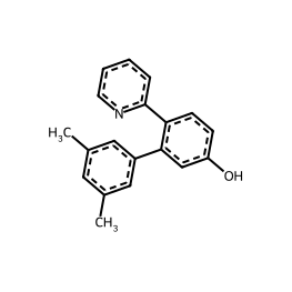 Cc1cc(C)cc(-c2cc(O)ccc2-c2ccccn2)c1